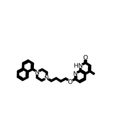 Cc1cc(=O)[nH]c2nc(OCCCCN3CCN(c4cccc5ccccc45)CC3)ccc12